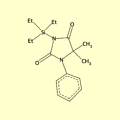 CC[Si](CC)(CC)N1C(=O)N(c2ccccc2)C(C)(C)C1=O